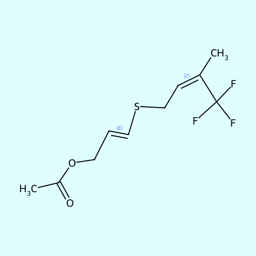 CC(=O)OC/C=C/SC/C=C(/C)C(F)(F)F